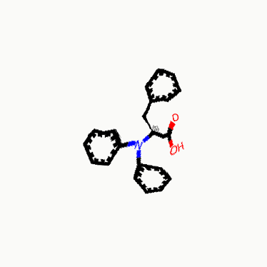 O=C(O)[C@H](Cc1ccccc1)N(c1ccccc1)c1ccccc1